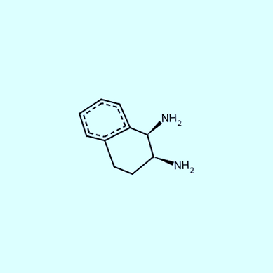 N[C@@H]1c2ccccc2CC[C@@H]1N